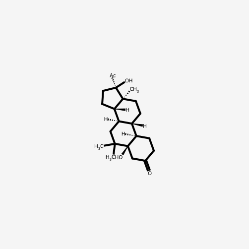 CC(=O)[C@@]1(O)CC[C@H]2[C@@H]3CC(C)(C)[C@@]4(O)CC(=O)CC[C@@H]4[C@H]3CC[C@@]21C